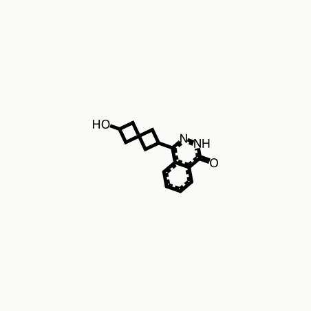 O=c1[nH]nc(C2CC3(CC(O)C3)C2)c2ccccc12